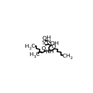 C=CCCCC1CC(NC(=O)/C=C(/C)CCC=C)CC(O)(C2CSC(=O)N2)O1